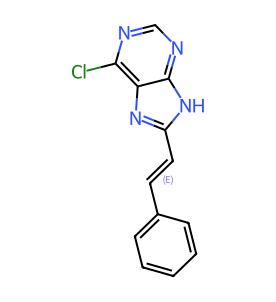 Clc1ncnc2[nH]c(/C=C/c3ccccc3)nc12